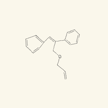 C=CCOCC(=Cc1ccccc1)c1ccccc1